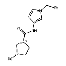 CC(C)Cn1cnc(NC(=O)[C@H]2CCN(C#N)C2)c1